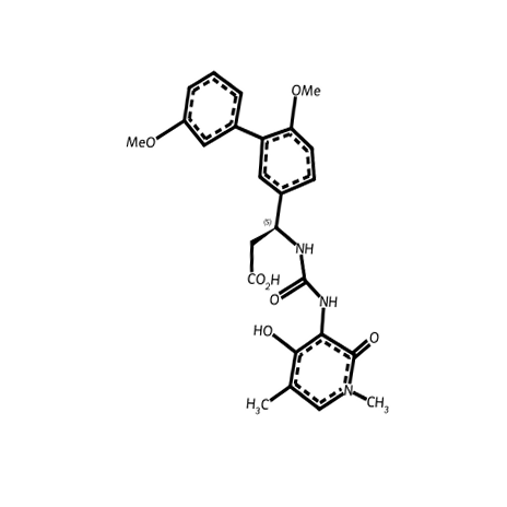 COc1cccc(-c2cc([C@H](CC(=O)O)NC(=O)Nc3c(O)c(C)cn(C)c3=O)ccc2OC)c1